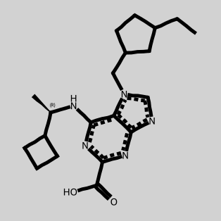 CCC1CCC(Cn2cnc3nc(C(=O)O)nc(N[C@H](C)C4CCC4)c32)C1